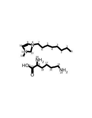 CCCCCCCCN1C=CN(C)C1.NCCCCC(N)C(=O)O